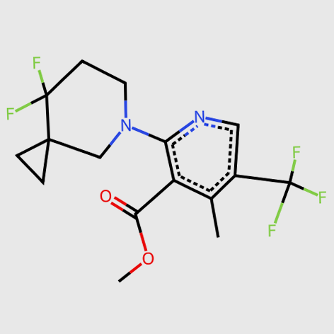 COC(=O)c1c(N2CCC(F)(F)C3(CC3)C2)ncc(C(F)(F)F)c1C